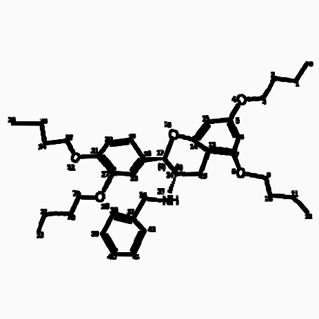 CCCCOc1cc(OCCCC)c2c(c1)O[C@H](c1ccc(OCCCC)c(OCCCC)c1)[C@@H](NCc1ccccc1)C2